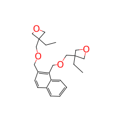 CCC1(COCc2ccc3ccccc3c2COCC2(CC)COC2)COC1